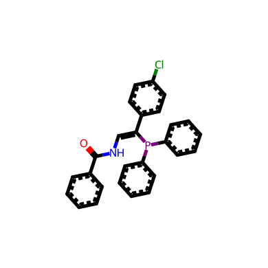 O=C(NC=C(c1ccc(Cl)cc1)P(c1ccccc1)c1ccccc1)c1ccccc1